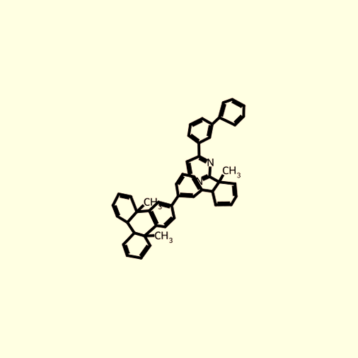 CC1(c2nccc(-c3cccc(-c4ccccc4)c3)n2)C=CC=CC1c1cccc(-c2ccc3c(c2)C2(C)C=CC=CC2C2C=CC=CC32C)c1